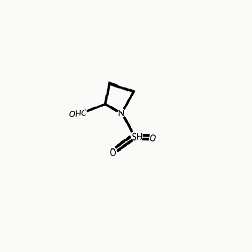 O=CC1CCN1[SH](=O)=O